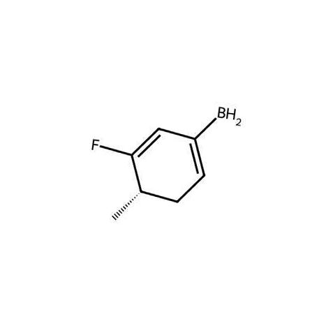 BC1=CC[C@H](C)C(F)=C1